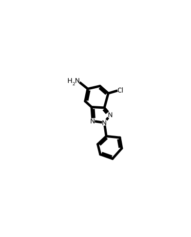 Nc1cc(Cl)c2nn(-c3ccccc3)nc2c1